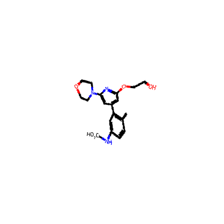 Cc1ccc(NC(=O)O)cc1-c1cc(OCCO)nc(N2CCOCC2)c1